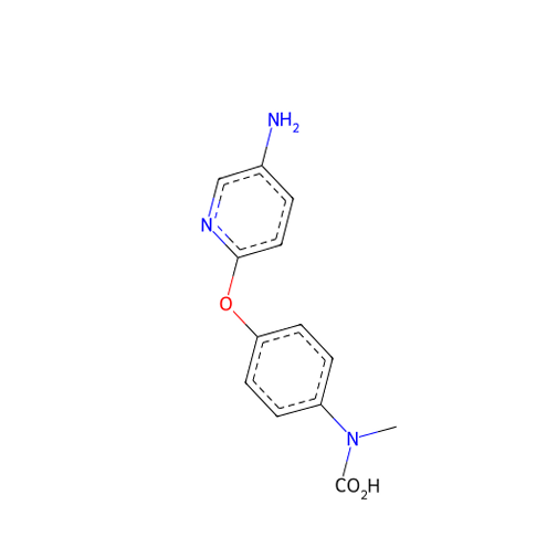 CN(C(=O)O)c1ccc(Oc2ccc(N)cn2)cc1